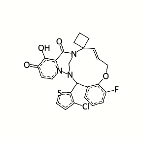 O=C1c2c(O)c(=O)ccn2N2CN1C1(/C=C/COc3c(F)cccc3C2c2sccc2Cl)CCC1